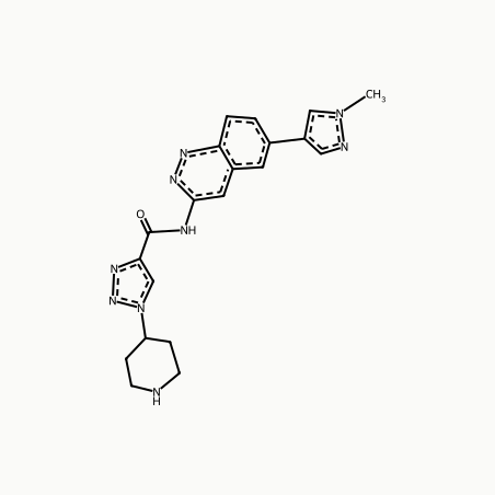 Cn1cc(-c2ccc3nnc(NC(=O)c4cn(C5CCNCC5)nn4)cc3c2)cn1